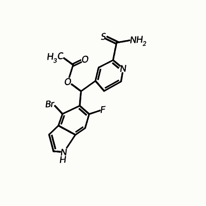 CC(=O)OC(c1ccnc(C(N)=S)c1)c1c(F)cc2[nH]ccc2c1Br